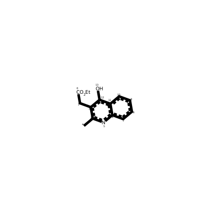 CCOC(=O)Cc1c(C)nc2ccccc2c1O